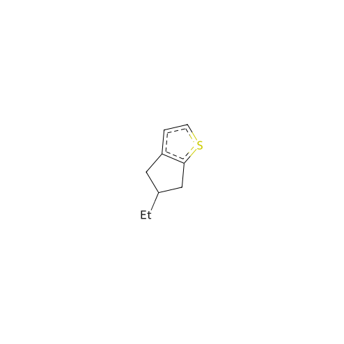 CCC1Cc2ccsc2C1